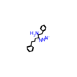 [N-]=[N+]=N[C@@H](CCCc1ccccc1)C(N)Cc1ccccc1